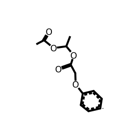 CC(=O)OC(C)OC(=O)COc1cc[c]cc1